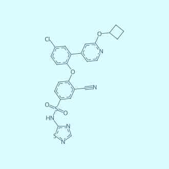 N#Cc1cc(S(=O)(=O)Nc2ncns2)ccc1Oc1ccc(Cl)cc1-c1ccnc(OC2CCC2)c1